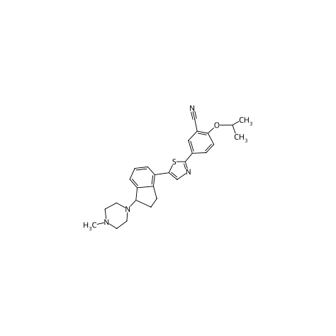 CC(C)Oc1ccc(-c2ncc(-c3cccc4c3CCC4N3CCN(C)CC3)s2)cc1C#N